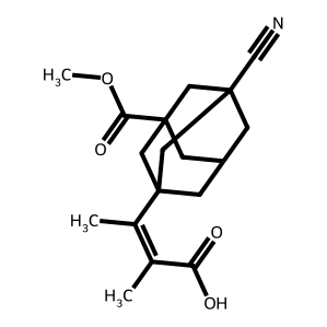 COC(=O)C12CC3CC(C#N)(C1)CC(C(C)=C(C)C(=O)O)(C3)C2